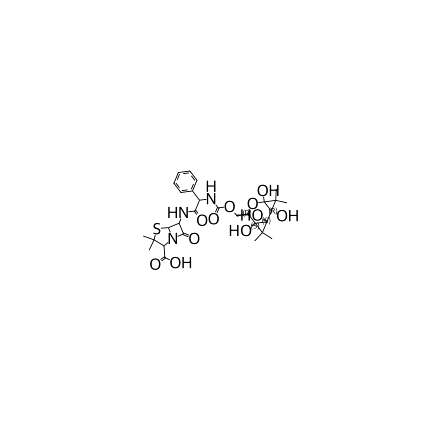 CC1(C)SC2C(NC(=O)C(NC(=O)OC[C@H]3OC4(O)C(C)(C)[C@@]4(O)[C@]4(O)C(C)(C)[C@]34O)c3ccccc3)C(=O)N2C1C(=O)O